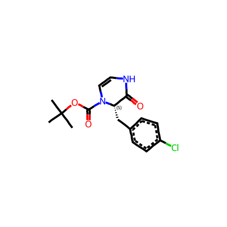 CC(C)(C)OC(=O)N1C=CNC(=O)[C@@H]1Cc1ccc(Cl)cc1